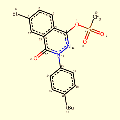 CCc1ccc2c(OS(=O)(=O)C(F)(F)F)nn(-c3ccc(C(C)(C)C)cc3)c(=O)c2c1